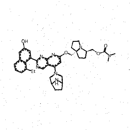 CCc1cccc2cc(O)cc(-c3ncc4c(N5CC6CCC(C5)N6)cc(OC[C@]56CCCN5[C@@H](COC(=O)N(C)C)CC6)nc4n3)c12